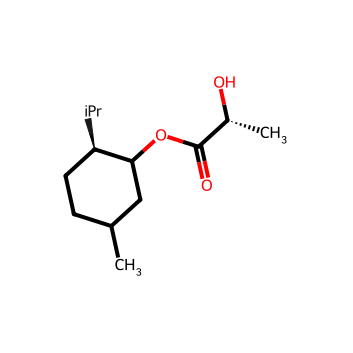 CC1CC[C@@H](C(C)C)C(OC(=O)[C@@H](C)O)C1